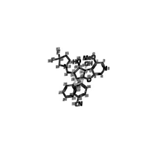 COc1cncc2c1[C@]1(O)[C@H](O)[C@H](CN3CCC(F)(F)C3)[C@@H](c3ccccc3)[C@]1(c1ccc(C#N)cc1)O2